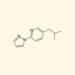 CC(C)Cc1ccc(-n2cccn2)nc1